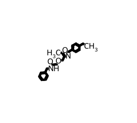 CCc1ccc(-c2nc(COCC(=O)NCc3ccccc3)c(C)o2)cc1